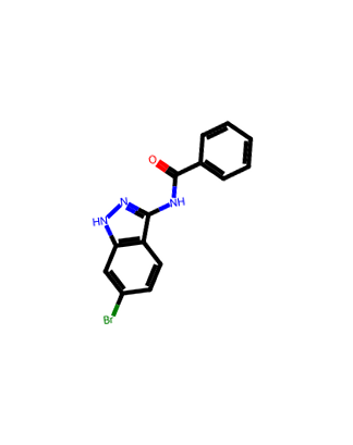 O=C(Nc1n[nH]c2cc(Br)ccc12)c1ccccc1